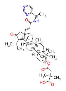 CC(C)C1=C2[C@H]3CC[C@@H]4[C@@]5(C)CC[C@H](OC(=O)CC(C)(C)C(=O)O)C(C)(C)[C@@H]5CC[C@@]4(C)[C@]3(C)CC[C@@]2(C=CC(=O)N[C@H](C)c2ccncn2)CC1=O